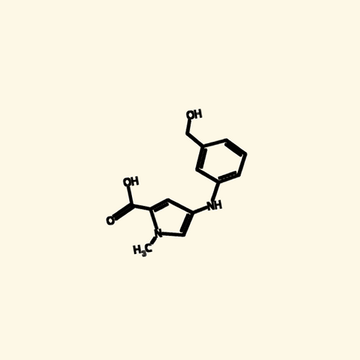 Cn1cc(Nc2cccc(CO)c2)cc1C(=O)O